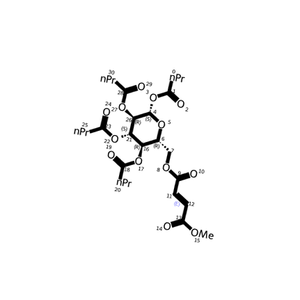 CCCC(=O)O[C@@H]1O[C@H](COC(=O)/C=C/C(=O)OC)[C@@H](OC(=O)CCC)[C@H](OC(=O)CCC)[C@H]1OC(=O)CCC